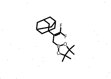 CC1(C)OB(CC(=C(F)F)C23CC4CC(CC(C4)C2)C3)OC1(C)C